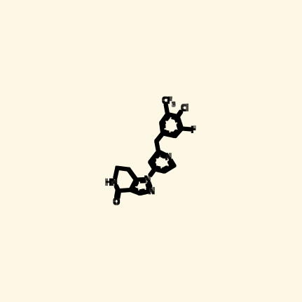 O=C1NCCc2c1cnn2-c1ccnc(Cc2cc(F)c(Cl)c(C(F)(F)F)c2)c1